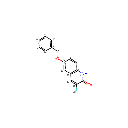 O=c1[nH]c2ccc(OCc3ccccc3)cc2cc1F